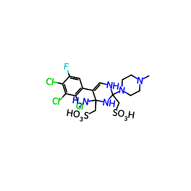 CN1CCN(C2(CS(=O)(=O)O)NC=C(c3cc(F)c(Cl)c(Cl)c3Cl)C(N)(CS(=O)(=O)O)N2)CC1